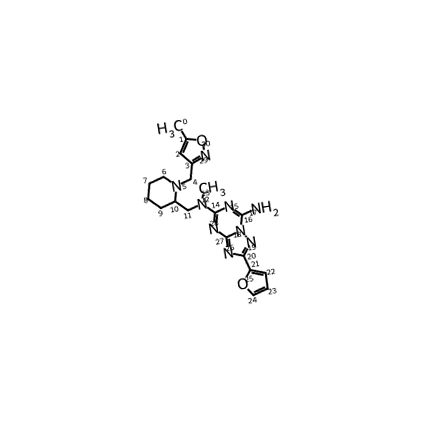 Cc1cc(CN2CCCCC2CN(C)c2nc(N)n3nc(-c4ccco4)nc3n2)no1